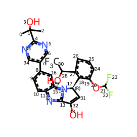 CC(C)(O)c1ncc(-c2ccc3nc4n(c3c2)[C@@H](c2c(OC(F)F)cccc2C(O)C(F)(F)F)C=C4O)cn1